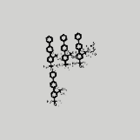 CC(C)(C)c1ccc(-c2ccc(-c3ccccc3)cc2)c(C(C)(C)C)c1.CC(C)(C)c1ccc(-c2ccc(-c3ccccc3)cc2)c(C(C)(C)C)c1.CC(C)(C)c1ccc(-c2ccc(-c3ccccc3)cc2)c(C(C)(C)C)c1.CC(C)(C)c1ccc(-c2ccc(-c3ccccc3)cc2)c(C(C)(C)C)c1.O=[PH](O)O[PH](=O)O